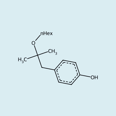 CCCCCCOC(C)(C)Cc1ccc(O)cc1